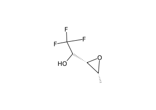 C[C@H]1O[C@H]1C(O)C(F)(F)F